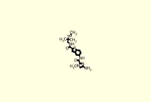 CSSC(C)(C)CNC(=O)c1cc2cc(NC(=O)c3nc(N)cn3C)ccc2s1